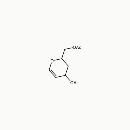 CC(=O)OCC1CC(OC(C)=O)C=CO1